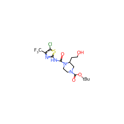 CC(C)(C)OC(=O)N1CCN(C(=O)Nc2nc(C(F)(F)F)c(Cl)s2)C(CCO)C1